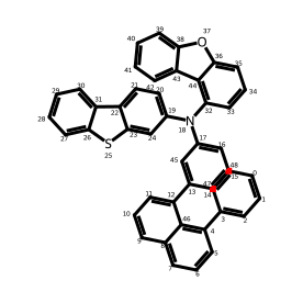 c1ccc(-c2cccc3cccc(-c4cccc(N(c5ccc6c(c5)sc5ccccc56)c5cccc6oc7ccccc7c56)c4)c23)cc1